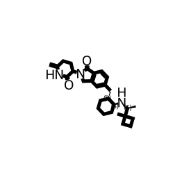 C=C1CCC(N2Cc3cc(C[C@H]4CCCC[C@@H]4N[C@@H](C)C4(C)CCC4)ccc3C2=O)C(=O)N1